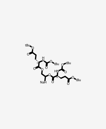 [CH2]C(COC(=O)[C@H](CCC(=O)OC(C)(C)C)NC(=O)OC(C)(C)C)OC(=O)[C@H](CCC(=O)OC(C)(C)C)NC(=O)OC(C)(C)C.[NaH]